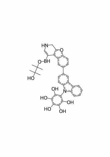 CC(C)(O)C(C)(C)OBC1=CNCc2oc3ccc(-c4ccc5c(c4)c4ccccc4n5-c4c(O)c(O)c(O)c(O)c4O)cc3c21